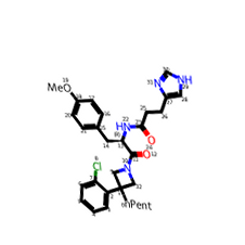 CCCCCC1(c2ccccc2Cl)CN(C(=O)[C@@H](Cc2ccc(OC)cc2)NC(=O)CCc2c[nH]cn2)C1